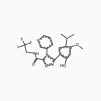 COc1cc(O)c(-c2nnc(C(=O)NCC(F)(F)F)n2-c2cccnc2)cc1C(C)C